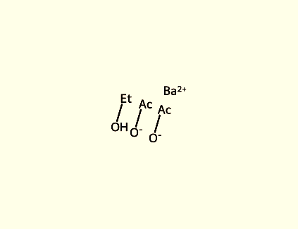 CC(=O)[O-].CC(=O)[O-].CCO.[Ba+2]